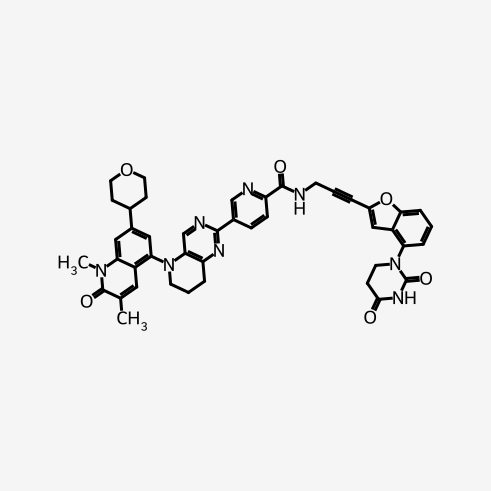 Cc1cc2c(N3CCCc4nc(-c5ccc(C(=O)NCC#Cc6cc7c(N8CCC(=O)NC8=O)cccc7o6)nc5)ncc43)cc(C3CCOCC3)cc2n(C)c1=O